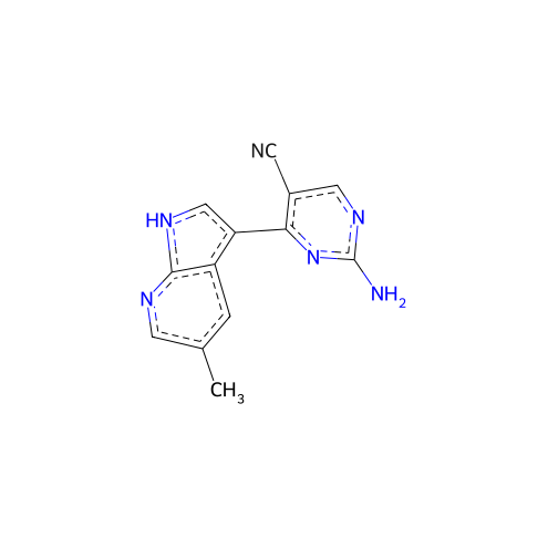 Cc1cnc2[nH]cc(-c3nc(N)ncc3C#N)c2c1